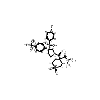 CN(C)C(=O)C1(C(=O)N2CC[C@](c3ccc(C(F)(C(F)(F)F)C(F)(F)F)cc3)(S(=O)(=O)c3ccc(F)cc3)C2)CCS(=O)(=O)CC1